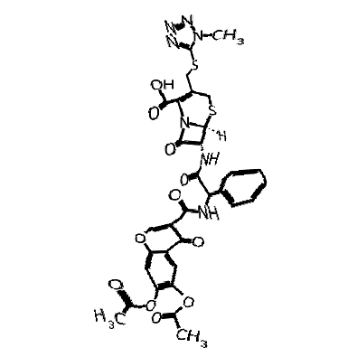 CC(=O)Oc1cc2occ(C(=O)NC(C(=O)N[C@@H]3C(=O)N4C(C(=O)O)=C(CSc5nnnn5C)CS[C@@H]34)c3ccccc3)c(=O)c2cc1OC(C)=O